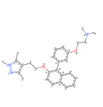 Cc1nn(C)c(C)c1CCOc1ccc2ccccc2c1-c1cccc(OCCN(C)C)c1